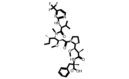 CC[C@H](C)[C@@H]([C@@H](CC(=O)N1CCC[C@H]1[C@H](OC)[C@@H](C)C(=O)N[C@@](C)(Cc1ccccc1)C(=O)O)OC)N(C)C(=O)[C@@H](Nc1nccc(C(F)(F)F)n1)C(C)C